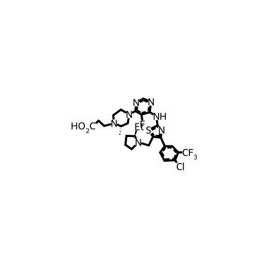 CC[C@@H]1CCCN1Cc1sc(Nc2ncnc(N3CCN(CCC(=O)O)[C@@H](C)C3)c2F)nc1-c1ccc(Cl)c(C(F)(F)F)c1